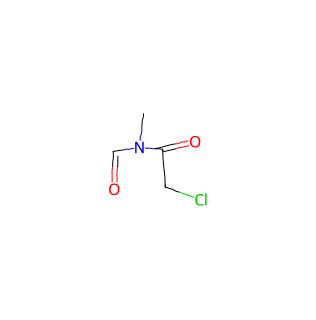 CN(C=O)C(=O)CCl